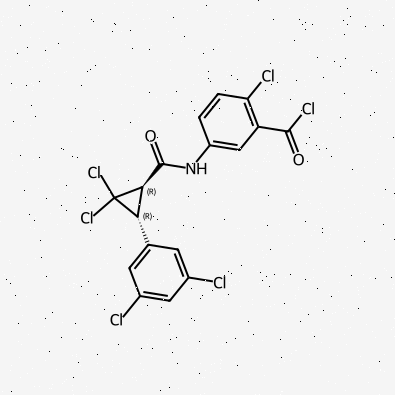 O=C(Cl)c1cc(NC(=O)[C@H]2[C@H](c3cc(Cl)cc(Cl)c3)C2(Cl)Cl)ccc1Cl